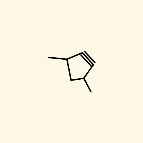 C[C]1C#CC(C)C1